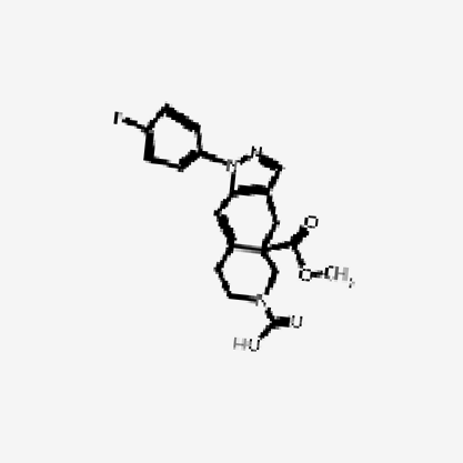 COC(=O)C12Cc3cnn(-c4ccc(F)cc4)c3C=C1CCN(C(=O)O)C2